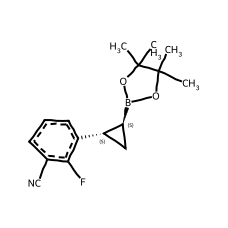 CC1(C)OB([C@H]2C[C@@H]2c2cccc(C#N)c2F)OC1(C)C